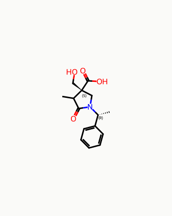 CC1C(=O)N([C@H](C)c2ccccc2)C[C@@]1(CO)C(=O)O